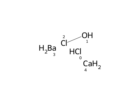 Cl.OCl.[BaH2].[CaH2]